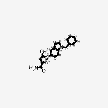 Cc1cc(C(N)=O)nn1-c1ccc2c(ccn2Cc2ccccc2)c1